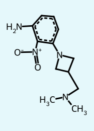 CN(C)CC1CN(c2cccc(N)c2[N+](=O)[O-])C1